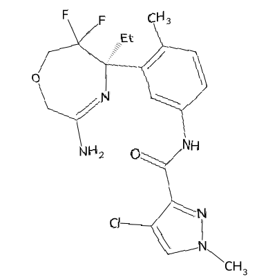 CC[C@]1(c2cc(NC(=O)c3nn(C)cc3Cl)ccc2C)N=C(N)COCC1(F)F